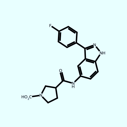 O=C(Nc1ccc2[nH]nc(-c3ccc(F)cc3)c2c1)C1CCN(C(=O)O)C1